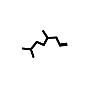 C=C[CH]C(C)CCC(C)C